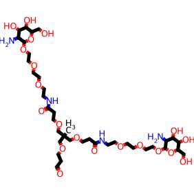 CC(COCCC=O)(COCCC(=O)NCCOCCOCCOC1OC(CO)C(O)C(O)C1N)COCCC(=O)NCCOCCOCCOC1OC(CO)C(O)C(O)C1N